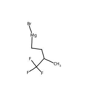 CC(C[CH2][Mg][Br])C(F)(F)F